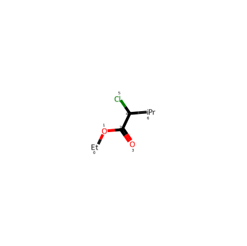 CCOC(=O)C(Cl)C(C)C